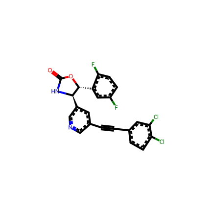 O=C1N[C@H](c2cncc(C#Cc3ccc(Cl)c(Cl)c3)c2)[C@@H](c2cc(F)ccc2F)O1